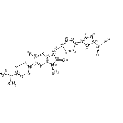 CC(C)N1CCN(c2cc3c(cc2F)n(Cc2ccc(-c4nnc(C(F)F)o4)cn2)c(=O)n3C)CC1